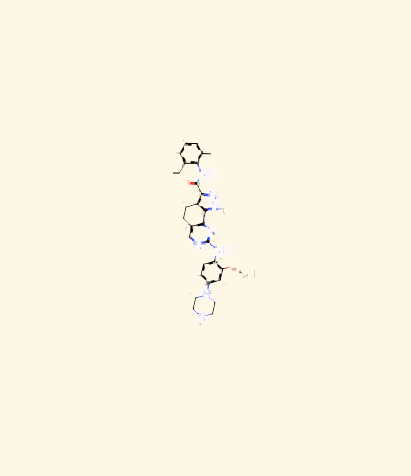 CCc1cccc(C)c1NC(=O)c1nn(C)c2c1CCc1cnc(Nc3ccc(N4CCN(C)CC4)cc3OC)nc1-2